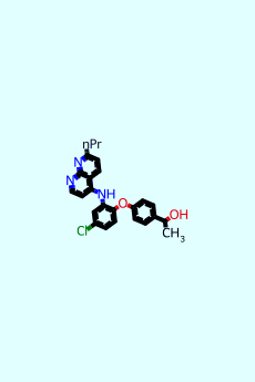 CCCc1ccc2c(Nc3cc(Cl)ccc3Oc3ccc(C(C)O)cc3)ccnc2n1